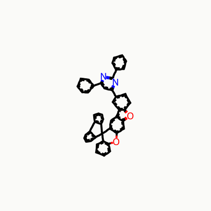 c1ccc(-c2cc(-c3ccc4oc5cc6c(cc5c4c3)C3(c4ccccc4O6)c4ccccc4-c4ccccc43)nc(-c3ccccc3)n2)cc1